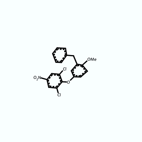 COc1ccc(Oc2c(Cl)cc([N+](=O)[O-])cc2Cl)cc1Cc1ccccc1